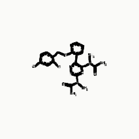 NC(=O)N(N)c1nnc(-c2ccccc2OCc2ccc(Cl)cc2Cl)c(N(N)C(N)=O)n1